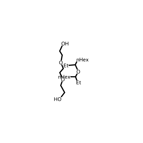 CCCCCCC(CC)OC(CC)CCCCCC.OCCOCCOCCO